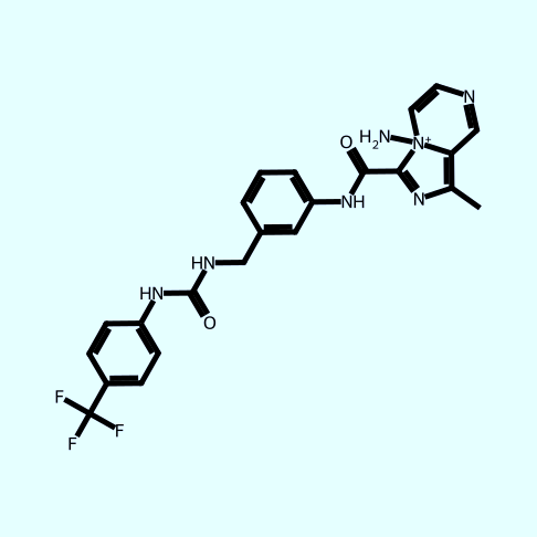 CC1=C2C=NC=C[N+]2(N)C(C(=O)Nc2cccc(CNC(=O)Nc3ccc(C(F)(F)F)cc3)c2)=N1